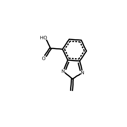 C=C1N=c2cccc(C(=O)O)c2=N1